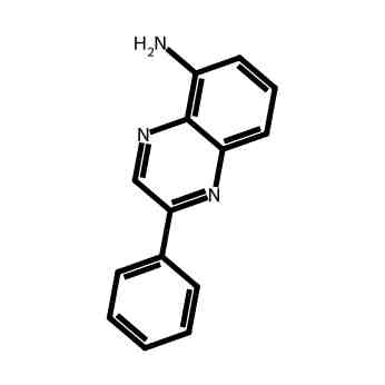 Nc1cccc2nc(-c3ccccc3)cnc12